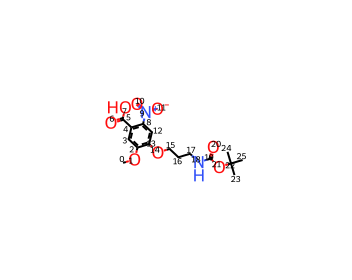 COc1cc(C(=O)O)c([N+](=O)[O-])cc1OCCCNC(=O)OC(C)(C)C